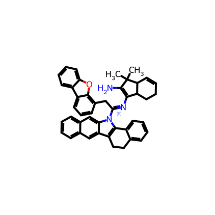 CC1(C)C(N)=C(/N=C(\Cc2cccc3c2oc2ccccc23)n2c3c(c4cc5ccccc5cc42)CCc2ccccc2-3)C2CCC=CC21